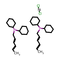 CC=CC=CCP(C1CCCCC1)C1CCCCC1.CC=CC=CCP(C1CCCCC1)C1CCCCC1.[Cl][Ni][Cl]